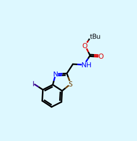 CC(C)(C)OC(=O)NCc1nc2c(I)cccc2s1